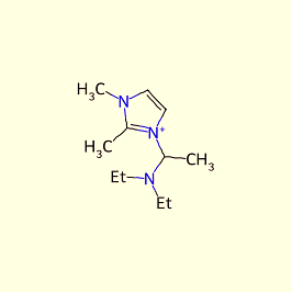 CCN(CC)C(C)[n+]1ccn(C)c1C